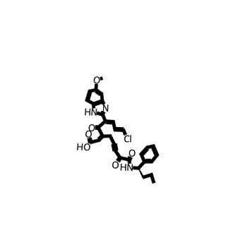 CCC[C@@H](NC(=O)C(=O)C#CC/C(=C/C(=O)O)C(=O)/C(=C\C=C\Cl)c1nc2cc(OC)ccc2[nH]1)c1ccccc1